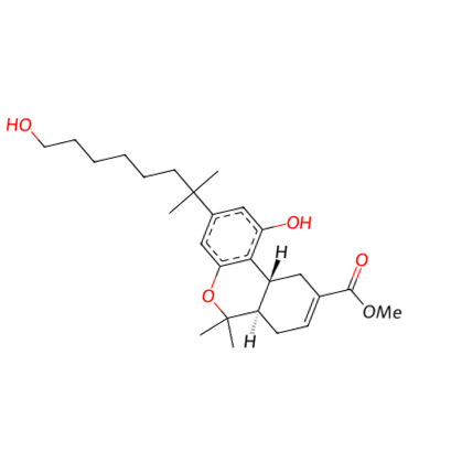 COC(=O)C1=CC[C@@H]2[C@@H](C1)c1c(O)cc(C(C)(C)CCCCCCO)cc1OC2(C)C